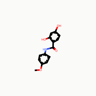 COc1ccc(NC(=O)c2ccc(O)cc2O)cc1